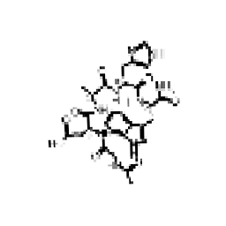 CC(=O)NCC(=O)N[C@@H](CC(=O)O)C(=O)N[C@@H](C)C(=O)N[C@@H](Cc1c[nH]cn1)C(=O)N[C@@H](Cc1c[nH]c2ccccc12)C(N)=O